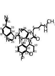 CNCCCn1c(=O)n(C2CCOc3c(F)ccc(F)c32)c2nc(-n3cnc4ccc(C#N)cc43)ncc21